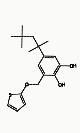 CC(C)(C)CC(C)(C)c1cc(O)c(O)c(COc2cccs2)c1